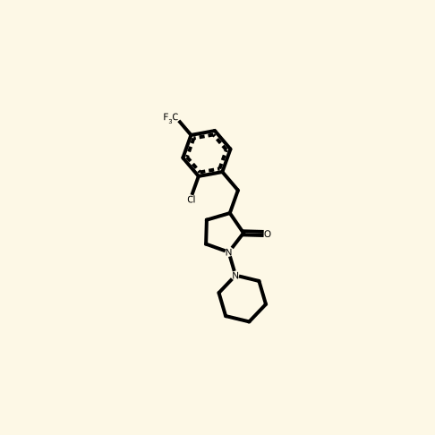 O=C1C(Cc2ccc(C(F)(F)F)cc2Cl)CCN1N1CCCCC1